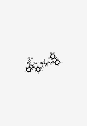 CC(C)(C)OC(=O)n1cc(-c2cccc(C[C@H](NC(=O)OCC3c4ccccc4-c4ccccc43)C(=O)O)c2)c2ccccc21